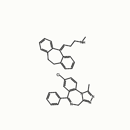 CNCCC=C1c2ccccc2CCc2ccccc21.Cc1nnc2n1-c1ccc(Cl)cc1C(c1ccccc1)=NC2